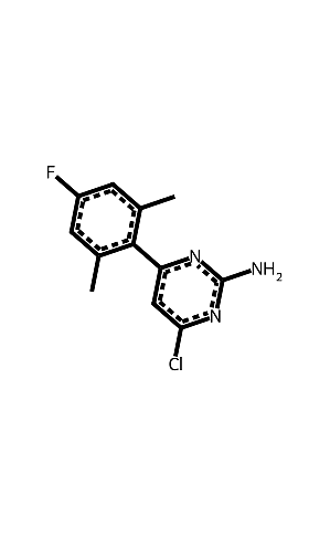 Cc1cc(F)cc(C)c1-c1cc(Cl)nc(N)n1